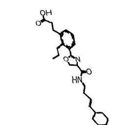 CCCc1c(CCC(=O)O)cccc1C1=NC(C(=O)NCCCCC2CCCCC2)CO1